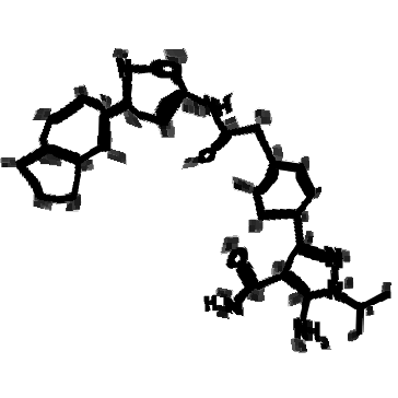 CC(C)n1nc(-c2ccc(CC(=O)Nc3cc(-c4ccc5c(c4)CCC5)no3)cc2)c(C(N)=O)c1N